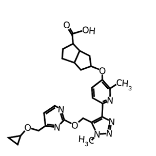 Cc1nc(-c2nnn(C)c2COc2nccc(COC3CC3)n2)ccc1OC1CC2CCC(C(=O)O)C2C1